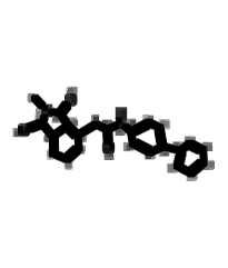 CN1C(=O)c2cccc(CC(=O)Nc3ccc(-c4ccccc4)cc3)c2C1=O